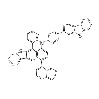 c1ccc(N(c2ccc(-c3ccc4c(c3)sc3ccccc34)cc2)c2ccc(-c3cccc4ccccc34)cc2)c(-c2cccc3c2sc2ccccc23)c1